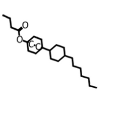 CCCCCCCC1CCC(C23CCC(OC(=O)CCC)(CC2)CC3)CC1